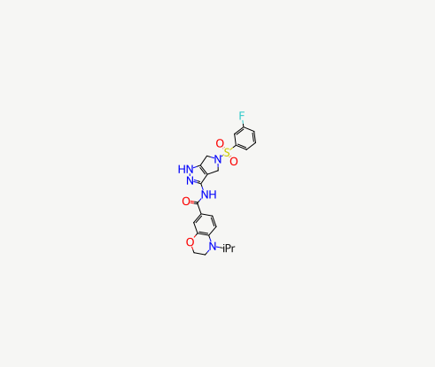 CC(C)N1CCOc2cc(C(=O)Nc3n[nH]c4c3CN(S(=O)(=O)c3cccc(F)c3)C4)ccc21